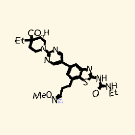 CCNC(=O)Nc1nc2cc(-c3cnc(N4CCC(CC)(C(=O)O)CC4)nc3)cc(CC/C=N\OC)c2s1